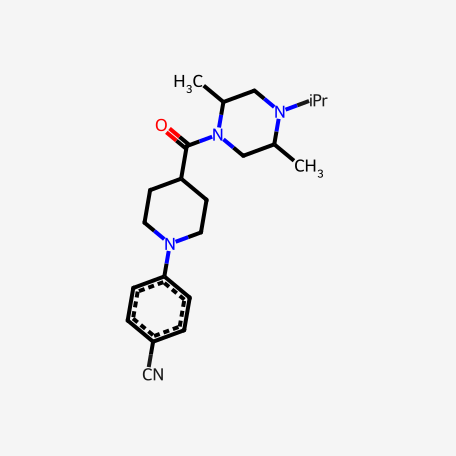 CC1CN(C(C)C)C(C)CN1C(=O)C1CCN(c2ccc(C#N)cc2)CC1